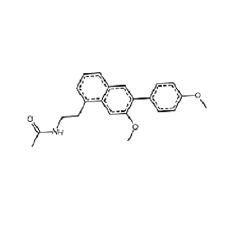 COc1ccc(-c2cc3cccc(CCNC(C)=O)c3cc2OC)cc1